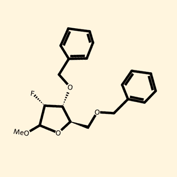 COC1O[C@H](COCc2ccccc2)[C@@H](OCc2ccccc2)[C@H]1F